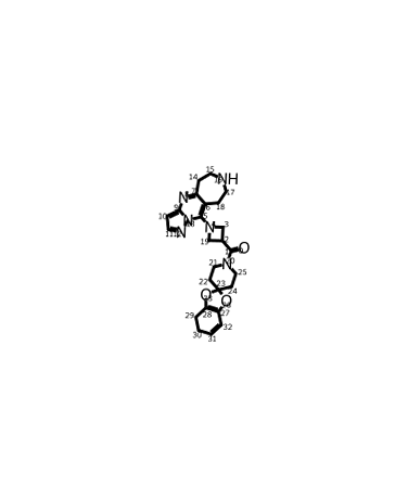 O=C(C1CN(c2c3c(nc4ccnn24)CCNCC3)C1)N1CCC2(CC1)OC1=C(CCC=C1)O2